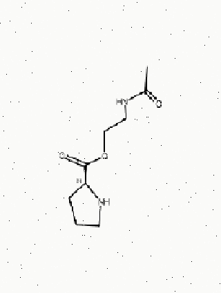 CC(=O)NCCOC(=O)[C@@H]1CCCN1